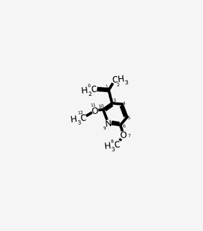 C=C(C)c1ccc(OC)nc1OC